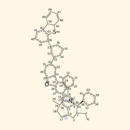 CCC1C/C(c2ccc(-c3ccccc3)cc2)=C/CC(C)/C(c2ccc3c(c2)oc2ccc(-c4cccc(-c5cccc6c5SC5C=CC=CC65)c4)cc23)=N\[C@H]1c1ccccc1